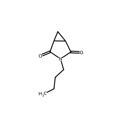 CCCCN1C(=O)C2CC2C1=O